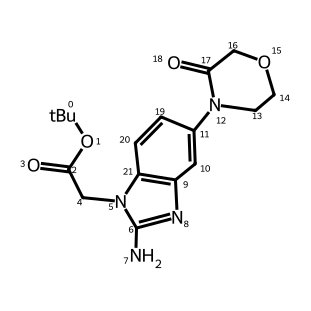 CC(C)(C)OC(=O)Cn1c(N)nc2cc(N3CCOCC3=O)ccc21